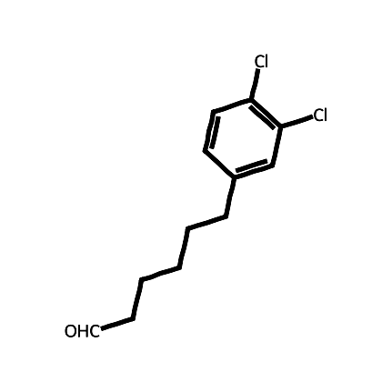 O=CCCCCCc1ccc(Cl)c(Cl)c1